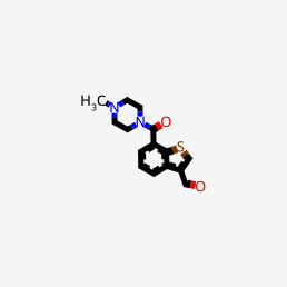 CN1CCN(C(=O)c2cccc3c(C=O)csc23)CC1